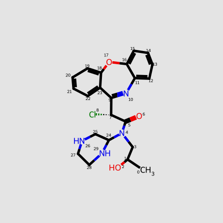 CC(O)CN(C(=O)[C@H](Cl)C1=Nc2ccccc2Oc2ccccc21)C1CNCCN1